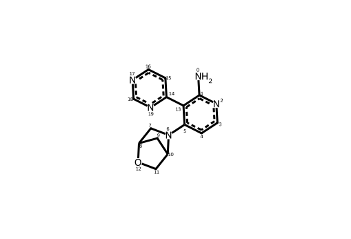 Nc1nccc(N2CC3CC2CO3)c1-c1ccncn1